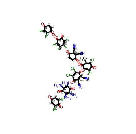 CC1=C(Cl)C(=O)C(Cl)=CC1=O.N#CC1=C(C#N)C(=O)C(Cl)=C(Cl)C1=O.N#CC1=C(C#N)C(=O)C=CC1=O.NC1=C(N)C(=O)C(N)=C(N)C1=O.O=C1C(=O)C(F)=C(F)C(F)=C1F.O=C1C=C(Br)C(=O)C(Br)=C1.O=C1C=CC(=O)C(F)=C1F